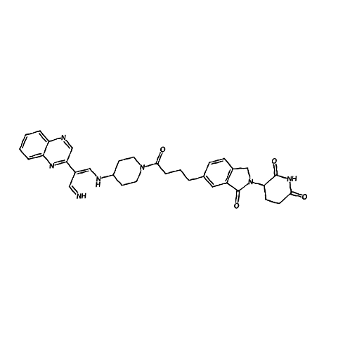 N=C/C(=C\NC1CCN(C(=O)CCCc2ccc3c(c2)C(=O)N(C2CCC(=O)NC2=O)C3)CC1)c1cnc2ccccc2n1